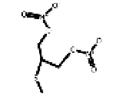 CSC(CO[N+](=O)[O-])CO[N+](=O)[O-]